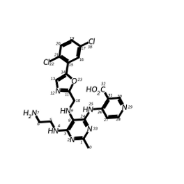 Cc1nc(NCCN)c(NCc2ncc(-c3cc(Cl)ccc3Cl)o2)c(Nc2ccncc2C(=O)O)n1